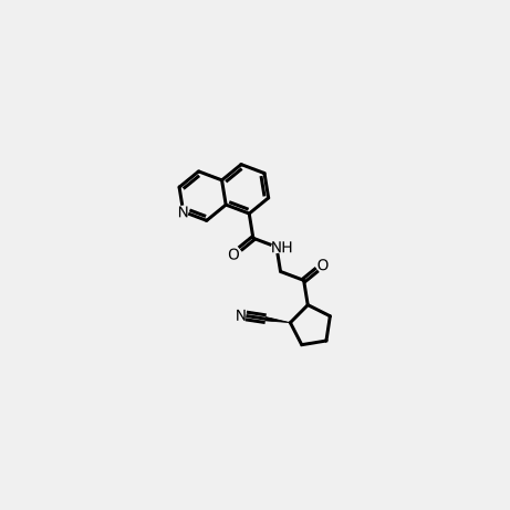 N#C[C@@H]1CCCC1C(=O)CNC(=O)c1cccc2ccncc12